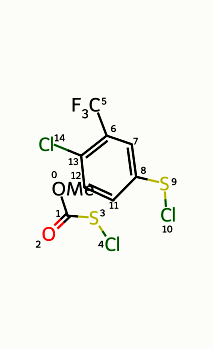 COC(=O)SCl.FC(F)(F)c1cc(SCl)ccc1Cl